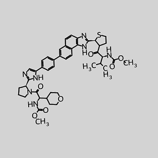 COC(=O)NC(C(=O)N1CCC[C@H]1c1ncc(-c2ccc(-c3ccc4c(ccc5nc([C@H]6SCCC6C(=O)[C@@H](NC(=O)OC)C(C)C)[nH]c54)c3)cc2)[nH]1)C1CCOCC1